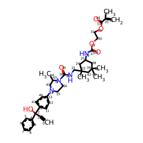 C#CC(O)(c1ccccc1)c1ccc(N2CCN(C(=O)NCC3(C)CC(NC(=O)OCCOC(=O)C(=C)C)CC(C)(C)C3)C(C)C2)cc1